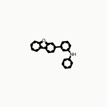 c1ccc(Nc2cccc(-c3ccc4c(c3)oc3ccccc34)c2)cc1